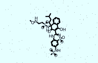 CONCCS(=O)(=O)NC1(CCC(C)C)C(=O)C(C2=NS(=O)(=O)c3cc(NS(C)(=O)=O)ccc3N2)=C(O)c2ccccc21